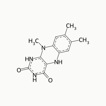 Cc1cc2c(cc1C)N(C)c1[nH]c(=O)[nH]c(=O)c1N2